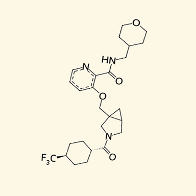 O=C(NCC1CCOCC1)c1ncccc1OCC12CC1CN(C(=O)[C@H]1CC[C@H](C(F)(F)F)CC1)C2